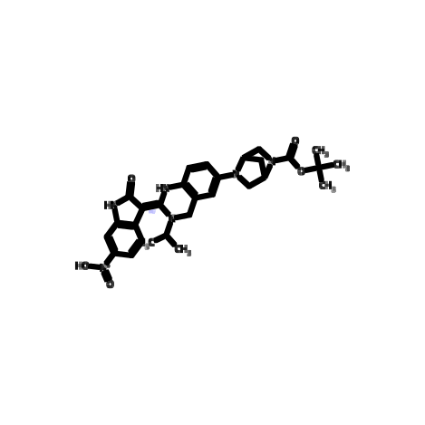 CC(C)N1Cc2cc(N3CC4CC3CN4C(=O)OC(C)(C)C)ccc2N/C1=C1\C(=O)Nc2cc([N+](=O)O)ccc21